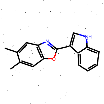 Cc1cc2nc(-c3c[nH]c4ccccc34)oc2cc1C